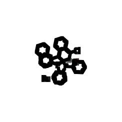 ClC1=c2ccccc2=C(c2cccc3ccccc23)C(P(c2ccccc2)c2ccccc2)(P(c2ccccc2)c2ccccc2)[C@H]1Cl.[Ru]